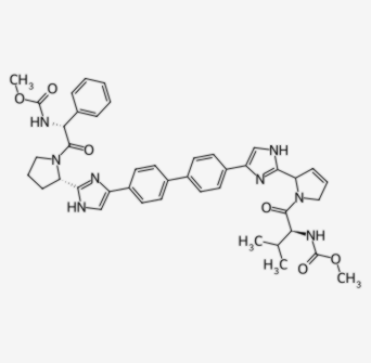 COC(=O)N[C@H](C(=O)N1CC=CC1c1nc(-c2ccc(-c3ccc(-c4c[nH]c([C@@H]5CCCN5C(=O)[C@H](NC(=O)OC)c5ccccc5)n4)cc3)cc2)c[nH]1)C(C)C